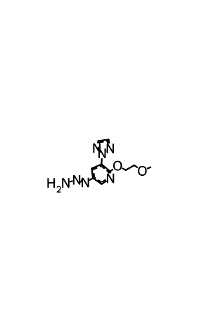 COCCOc1ncc(N=NN)cc1-n1nccn1